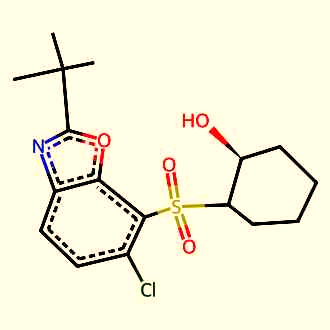 CC(C)(C)c1nc2ccc(Cl)c(S(=O)(=O)C3CCCC[C@@H]3O)c2o1